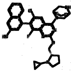 Oc1cc(-c2c(Cl)cc3c(N4CC5CCCC4CN5)nc(OC[C@@H]4CCCN4C4CC4)nc3c2F)c2ccccc2c1